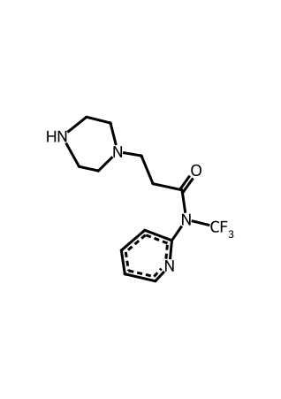 O=C(CCN1CCNCC1)N(c1ccccn1)C(F)(F)F